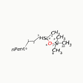 CCCCCCCC[SiH](C)O[Si](C)(C)C